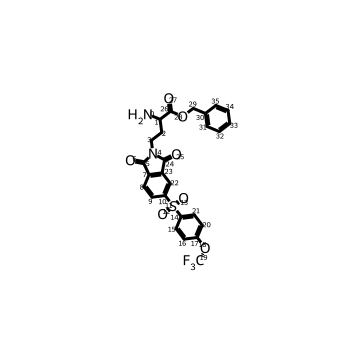 NC(CCN1C(=O)c2ccc(S(=O)(=O)c3ccc(OC(F)(F)F)cc3)cc2C1=O)C(=O)OCc1ccccc1